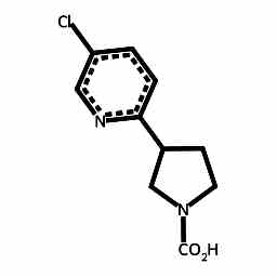 O=C(O)N1CCC(c2ccc(Cl)cn2)C1